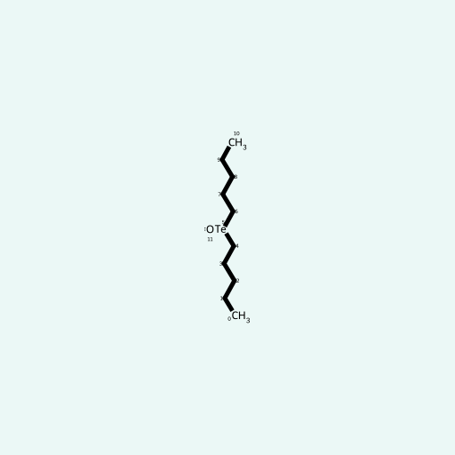 CCCCC[Te]CCCCC.[O]